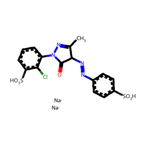 CC1=NN(c2cccc(S(=O)(=O)O)c2Cl)C(=O)C1N=Nc1ccc(S(=O)(=O)O)cc1.[Na].[Na]